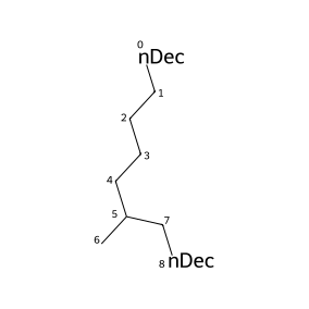 [CH2]CCCCCCCCCCCCCC(C)CCCCCCCCCC[CH2]